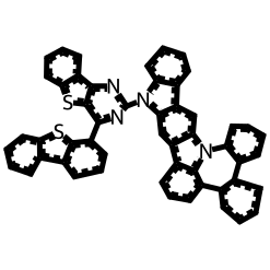 c1ccc2c(c1)-c1ccccc1-n1c3cc4c5ccccc5n(-c5nc(-c6cccc7c6sc6ccccc67)c6sc7ccccc7c6n5)c4cc3c3cccc-2c31